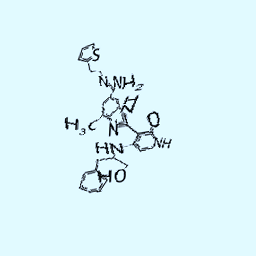 Cc1cc(C(N)=NCCc2cccs2)cc2[nH]c(-c3c(NC(CO)Cc4ccccc4)cc[nH]c3=O)nc12